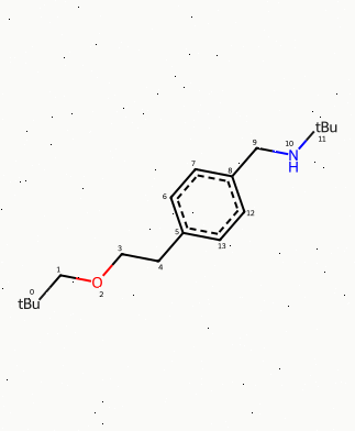 CC(C)(C)COCCc1ccc(CNC(C)(C)C)cc1